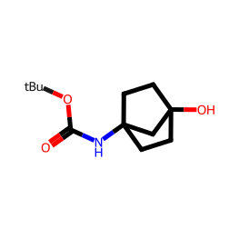 CC(C)(C)OC(=O)NC12CCC(O)(CC1)C2